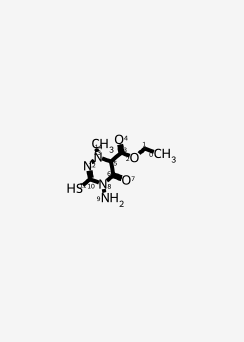 CCOC(=O)C1C(=O)N(N)C(S)=NN1C